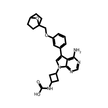 Nc1ncnc2c1c(-c1cccc(OCC34CCC(CC3)O4)c1)cn2C1CC(NC(=O)O)C1